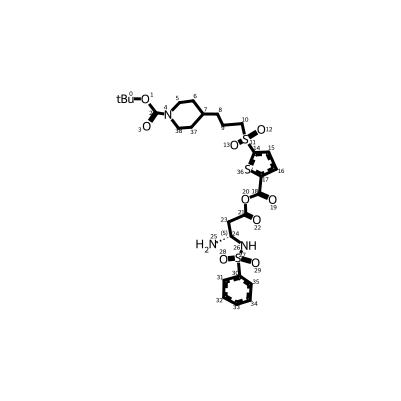 CC(C)(C)OC(=O)N1CCC(CCCS(=O)(=O)c2ccc(C(=O)OC(=O)C[C@@H](N)NS(=O)(=O)c3ccccc3)s2)CC1